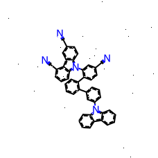 N#Cc1ccc(-c2ccccc2-c2cccc(-n3c4ccccc4c4ccccc43)c2)c(-n2c3ccc(C#N)cc3c3c(C#N)cccc32)c1